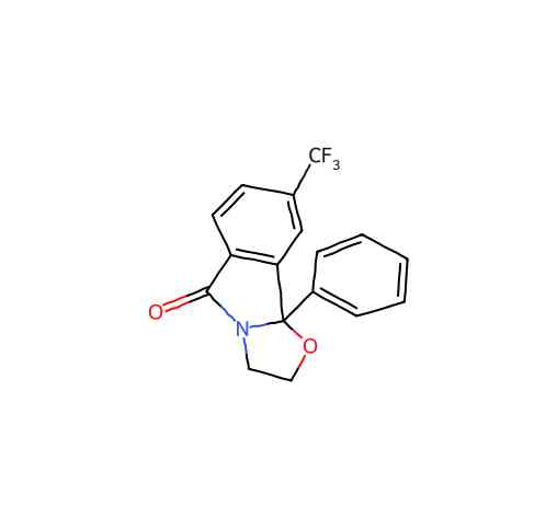 O=C1c2ccc(C(F)(F)F)cc2C2(c3ccccc3)OCCN12